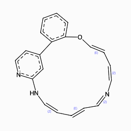 C1=C\Nc2cc(ccn2)-c2ccccc2O/C=C/C=C\N=C/C=C/1